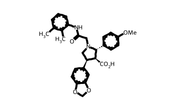 COc1ccc([C@@H]2[C@@H](C(=O)O)[C@@H](c3ccc4c(c3)OCO4)CN2CC(=O)Nc2cccc(C)c2C)cc1